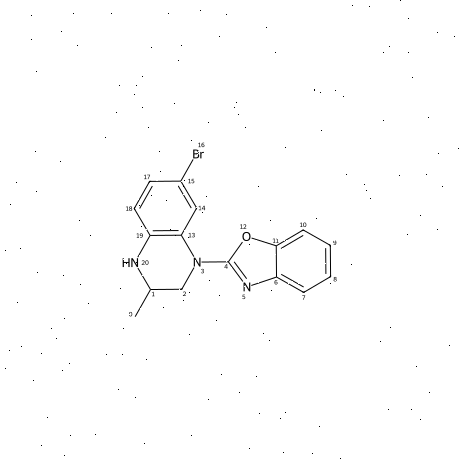 CC1CN(c2nc3ccccc3o2)c2cc(Br)ccc2N1